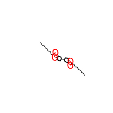 CCCCCCCCC(=O)Oc1ccc(-c2ccc(OC(=O)CCCCCCCC)cc2)cc1